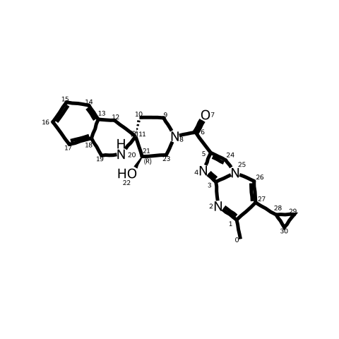 Cc1nc2nc(C(=O)N3CC[C@]4(Cc5ccccc5CN4)[C@H](O)C3)cn2cc1C1CC1